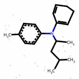 Cc1ccc(N(C2=CCCC=C2)C(C)CC(C)C)cc1